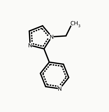 CCn1ccnc1-c1ccncc1